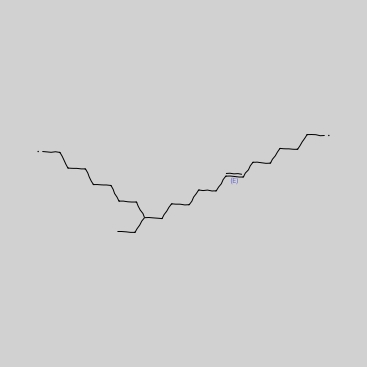 [CH2]CCCCC/C=C/CCCCCC(CC)CCCCCCC[CH2]